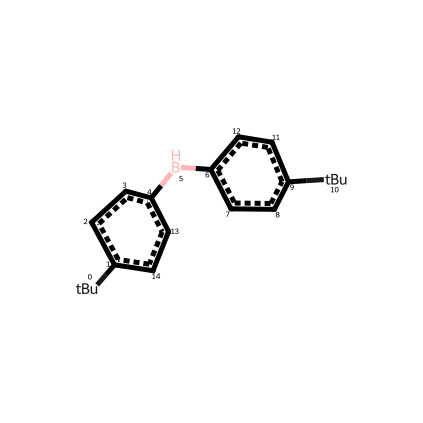 CC(C)(C)c1ccc(Bc2ccc(C(C)(C)C)cc2)cc1